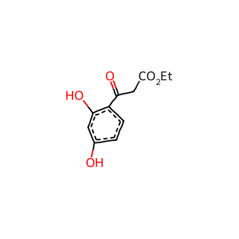 CCOC(=O)CC(=O)c1ccc(O)cc1O